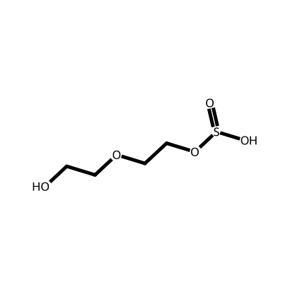 O=S(O)OCCOCCO